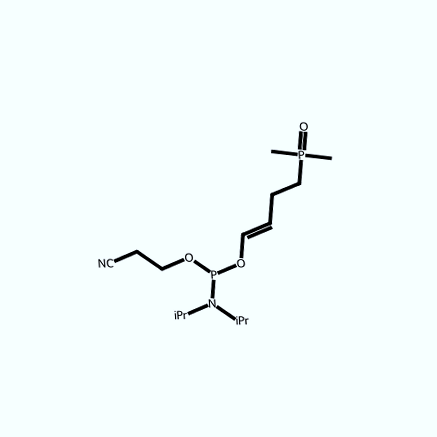 CC(C)N(C(C)C)P(O/C=C/CCP(C)(C)=O)OCCC#N